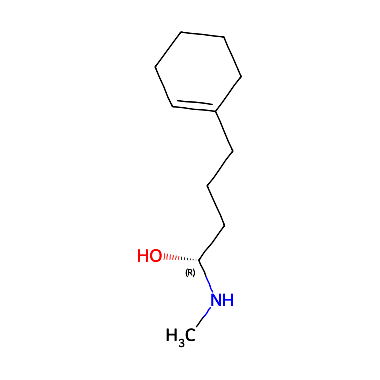 CN[C@H](O)CCCC1=CCCCC1